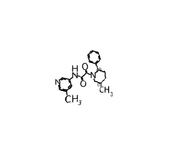 Cc1cncc(NC(=O)C(=O)N2C[C@@H](C)CC[C@@H]2c2ccccc2)c1